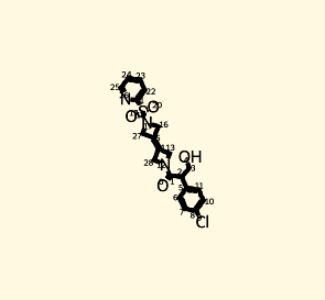 O=C(C(CO)c1ccc(Cl)cc1)N1CC(=C2CN(S(=O)(=O)c3ccccn3)C2)C1